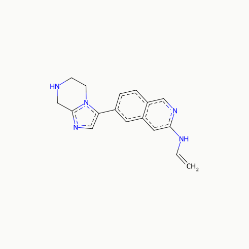 C=CNc1cc2cc(-c3cnc4n3CCNC4)ccc2cn1